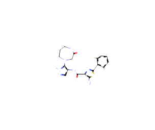 Cn1ncc(NC(=O)c2nc(-c3c(F)cccc3F)sc2N)c1N1CCCNC(=O)C1